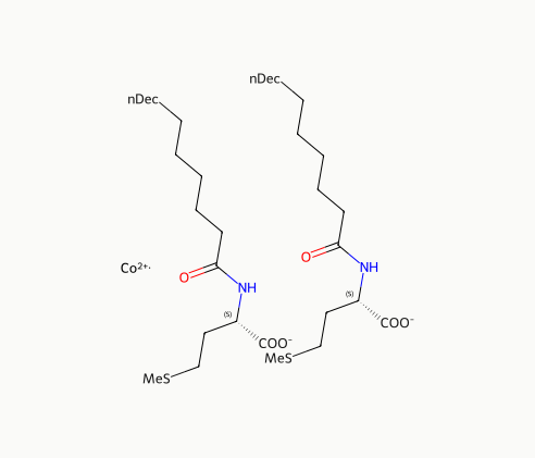 CCCCCCCCCCCCCCCC(=O)N[C@@H](CCSC)C(=O)[O-].CCCCCCCCCCCCCCCC(=O)N[C@@H](CCSC)C(=O)[O-].[Co+2]